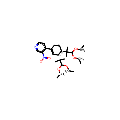 C[SiH2]OC(O[SiH2]C)C(C)(C)[C@H]1[C@H](C(C)(C)C(O[SiH2]C)O[SiH2]C)C=C(c2ccncc2[N+](=O)[O-])C[C@@H]1C